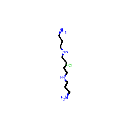 Cl.NCCCNCCCCNCCCN